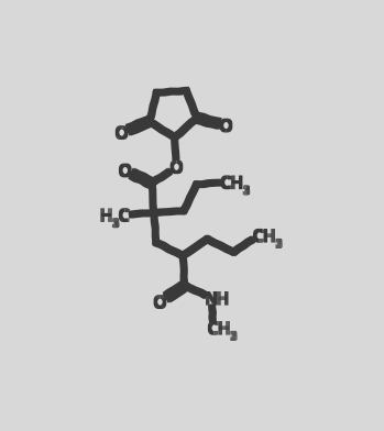 CCCC(CC(C)(CCC)C(=O)OC1C(=O)CCC1=O)C(=O)NC